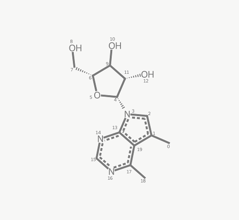 Cc1cn([C@@H]2O[C@H](CO)C(O)[C@@H]2O)c2ncnc(C)c12